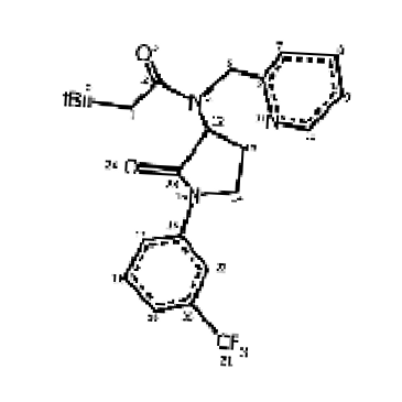 CC(C)(C)CC(=O)N(Cc1ccccn1)C1CCN(c2cccc(C(F)(F)F)c2)C1=O